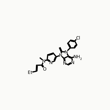 C=C1N(c2ccc(N(C)C(=O)/C=C/CC)nc2)c2ncnc(N)c2N1c1ccc(Cl)cc1